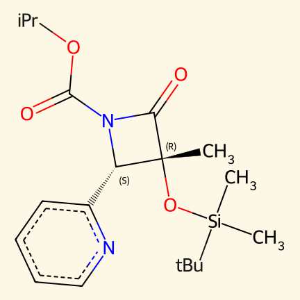 CC(C)OC(=O)N1C(=O)[C@](C)(O[Si](C)(C)C(C)(C)C)[C@@H]1c1ccccn1